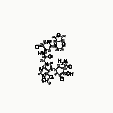 Cn1cnc2c(c(-c3cc(Cl)c(O)c(C(N)=O)c3)cn2CC(=O)Nc2cc(N3CCOC4COCC43)ncc2Cl)c1=O